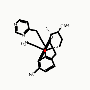 CO[C@H]1CC[C@@]2(Cc3ccc(C#N)cc3[C@]23N=C(N)N(Cc2ccncn2)C3=O)C[C@@H]1C